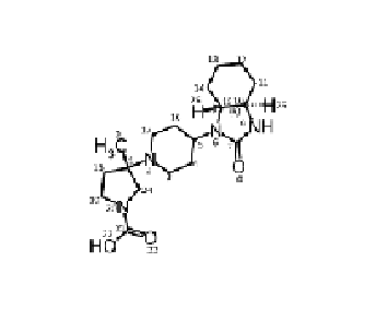 CC1(N2CCC(N3C(=O)N[C@@H]4CCCC[C@H]43)CC2)CCN(C(=O)O)C1